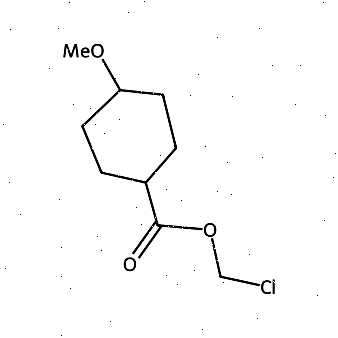 COC1CCC(C(=O)OCCl)CC1